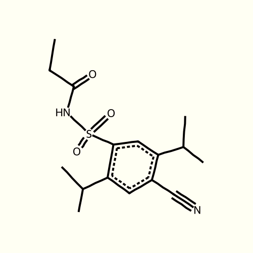 CCC(=O)NS(=O)(=O)c1cc(C(C)C)c(C#N)cc1C(C)C